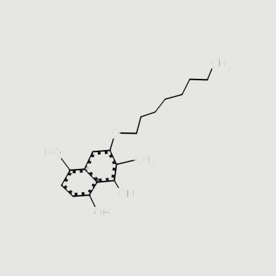 CCCCCCCCOc1cc2c(O)ccc(O)c2c(O)c1C